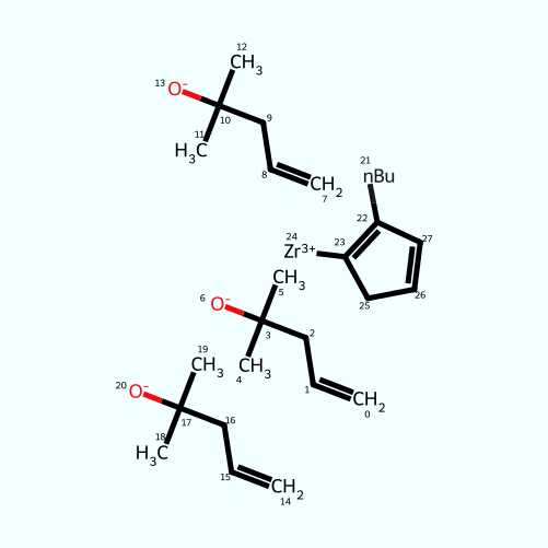 C=CCC(C)(C)[O-].C=CCC(C)(C)[O-].C=CCC(C)(C)[O-].CCCCC1=[C]([Zr+3])CC=C1